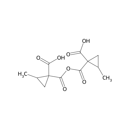 CC1CC1(C(=O)O)C(=O)OC(=O)C1(C(=O)O)CC1C